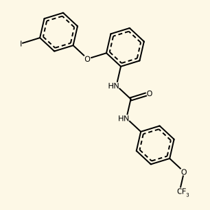 O=C(Nc1ccc(OC(F)(F)F)cc1)Nc1ccccc1Oc1cccc(I)c1